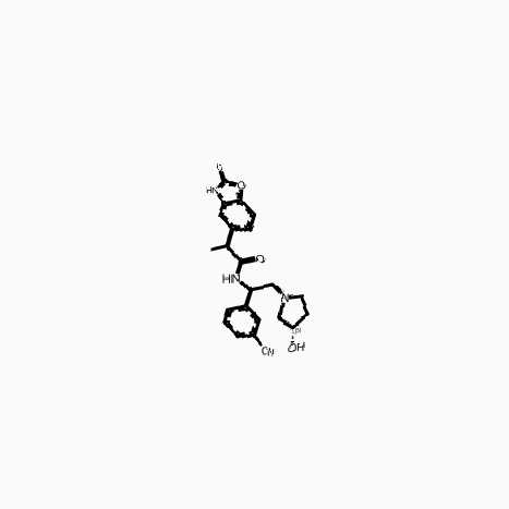 CC(C(=O)NC(CN1CC[C@H](O)C1)c1cccc(C#N)c1)c1ccc2oc(=O)[nH]c2c1